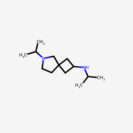 CC(C)NC1CC2(CCN(C(C)C)C2)C1